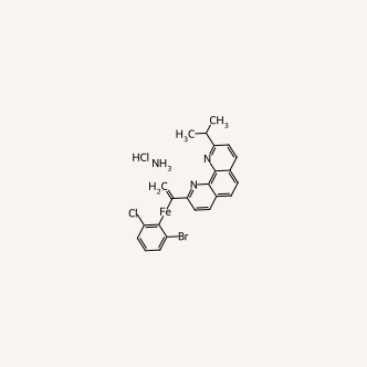 C=[C]([Fe][c]1c(Cl)cccc1Br)c1ccc2ccc3ccc(C(C)C)nc3c2n1.Cl.N